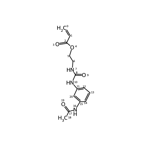 C=CC(=O)OCCNC(=O)Nc1cccc(NC(C)=O)c1